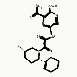 COc1ncc(NC(=O)C(=O)N2C[C@@H](C)CC[C@H]2C2=CCCCC2)cc1C(N)=O